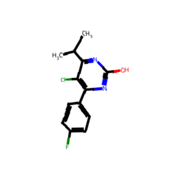 CC(C)c1nc(O)nc(-c2ccc(F)cc2)c1Cl